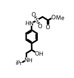 COC(=O)CS(=O)(=O)Nc1ccc(C(O)CNC(C)C)cc1